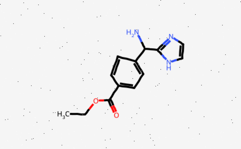 CCOC(=O)c1ccc(C(N)c2ncc[nH]2)cc1